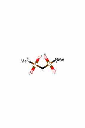 CNS(=O)(=O)CS(=O)(=O)NC